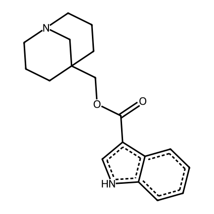 O=C(OCC12CCCN(CCC1)C2)c1c[nH]c2ccccc12